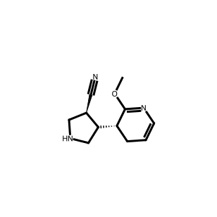 COC1=NC=CC[C@@H]1C1CNC[C@H]1C#N